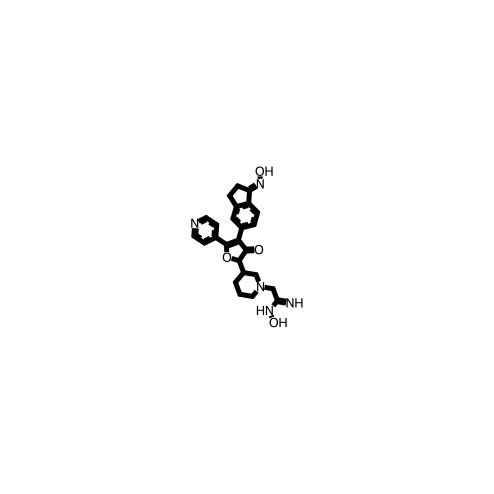 N=C(CN1CCCC(C2OC(c3ccncc3)=C(c3ccc4c(c3)CCC4=NO)C2=O)C1)NO